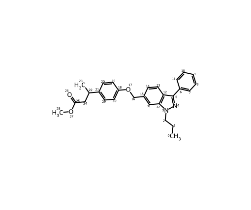 CCCn1nc(-c2ccccc2)c2ccc(COc3ccc(C(C)CC(=O)OC)cc3)cc21